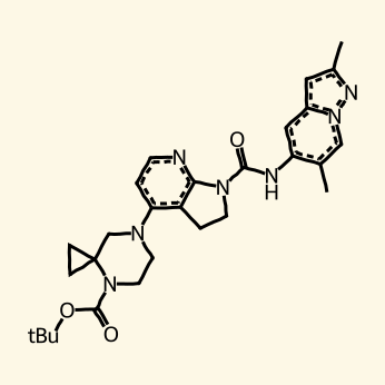 Cc1cc2cc(NC(=O)N3CCc4c(N5CCN(C(=O)OC(C)(C)C)C6(CC6)C5)ccnc43)c(C)cn2n1